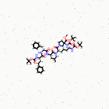 COC(=O)C1(NC(=O)OC(C)(C)C)CCN(C(=O)[C@@H](CCCCNC(=O)OC(C)(C)C)NC(=O)[C@@H](CC(C)C)NC(=O)[C@@H](Cc2ccccc2)NC(=O)[C@@H](CCc2ccccc2)NC(=O)OC(C)(C)C)C1